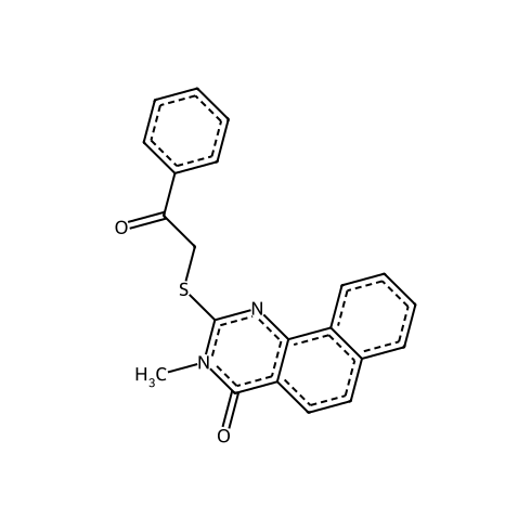 Cn1c(SCC(=O)c2ccccc2)nc2c(ccc3ccccc32)c1=O